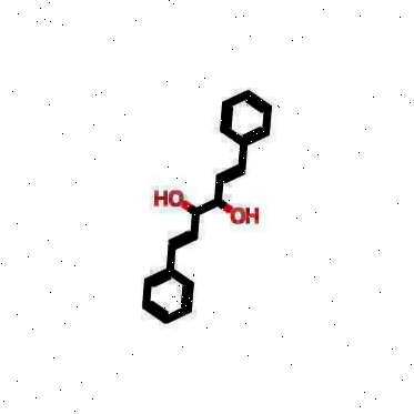 OC(C=Cc1ccccc1)C(O)C=Cc1ccccc1